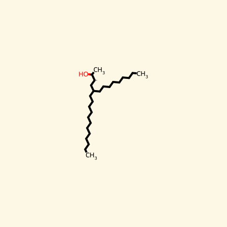 CCCCCCCCCCCCC(C[CH]C(C)O)CCCCCCCCC